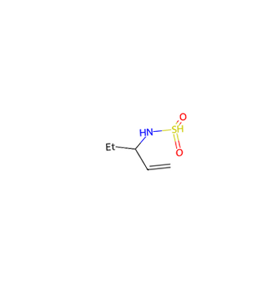 C=CC(CC)N[SH](=O)=O